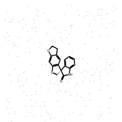 O=C1Nc2ccccc2[C@@]12COc1cc3c(cc12)CCO3